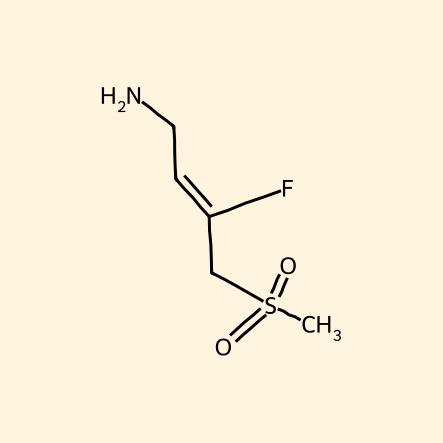 CS(=O)(=O)C/C(F)=C/CN